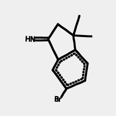 CC1(C)CC(=N)c2cc(Br)ccc21